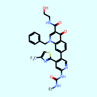 CCNC(=O)Nc1cc(-c2nc(C(F)(F)F)cs2)c(-c2ccc3c(=O)c(C(=O)NCCO)cn(Cc4ccccc4)c3c2)cn1